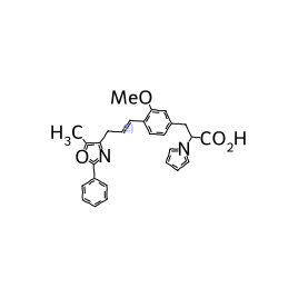 COc1cc(CC(C(=O)O)n2cccc2)ccc1/C=C/Cc1nc(-c2ccccc2)oc1C